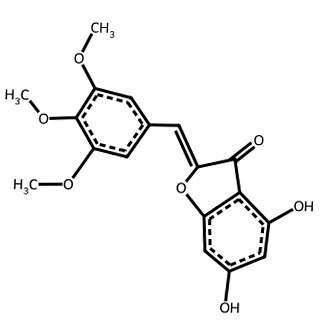 COc1cc(/C=C2\Oc3cc(O)cc(O)c3C2=O)cc(OC)c1OC